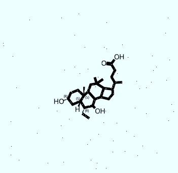 CC[C@H]1C(O)C2C3CCC(C(C)CCC(=O)O)C3C(C)(C)CC2[C@@]2(C)CC[C@@H](O)C[C@@H]12